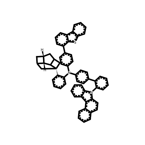 c1ccc(-n2c3ccccc3c3c4ccccc4ccc32)c(-c2ccc(N(c3ccc(-c4cccc5c4sc4ccccc45)cc3)c3ccccc3[C@]34CC5C[C@H]6CC(C3)[C@H]6C54)cc2)c1